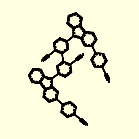 N#Cc1ccc(-c2ccc3c4ccccc4n(-c4ccc(C#N)c(-c5cc(-n6c7ccccc7c7ccc(-c8ccc(C#N)cc8)cc76)ccc5C#N)c4)c3c2)cc1